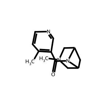 Cc1ccncc1C(=O)N1C2CC1CN(C)C2